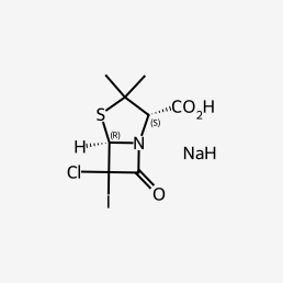 CC1(C)S[C@H]2N(C(=O)C2(Cl)I)[C@H]1C(=O)O.[NaH]